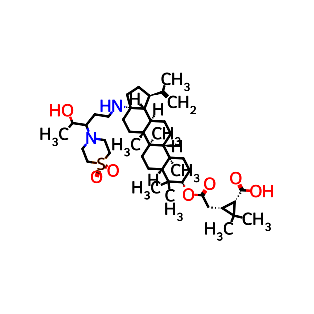 C=C(C)[C@@H]1CC[C@]2(NCCC(C(C)O)N3CCS(=O)(=O)CC3)CC[C@]3(C)[C@H](CC[C@@H]4[C@@]5(C)CC[C@H](OC(=O)C[C@@H]6[C@H](C(=O)O)C6(C)C)C(C)(C)[C@@H]5CC[C@]43C)[C@@H]12